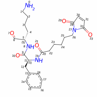 NCCCC[C@@H](C=O)NC(=O)[C@H](Cc1ccccc1)NC(=O)CCCCCN1C(=O)C=CC1=O